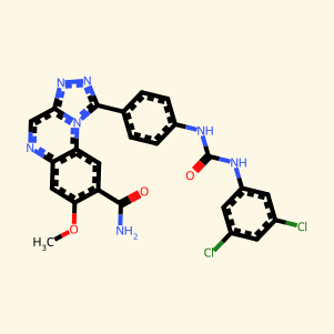 COc1cc2ncc3nnc(-c4ccc(NC(=O)Nc5cc(Cl)cc(Cl)c5)cc4)n3c2cc1C(N)=O